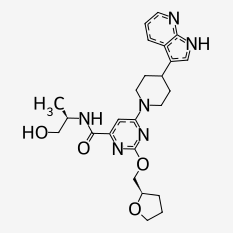 C[C@H](CO)NC(=O)c1cc(N2CCC(c3c[nH]c4ncccc34)CC2)nc(OC[C@H]2CCCO2)n1